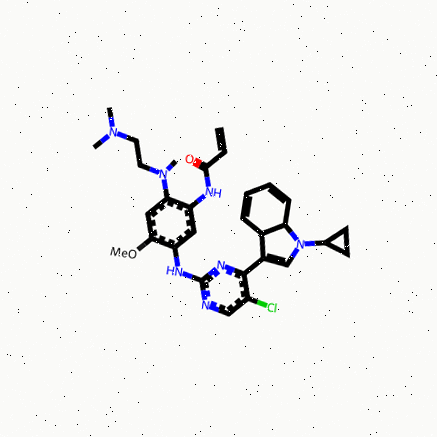 C=CC(=O)Nc1cc(Nc2ncc(Cl)c(C3=CN(C4CC4)C4C=CC=CC34)n2)c(OC)cc1N(C)CCN(C)C